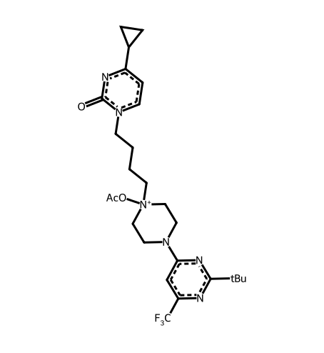 CC(=O)O[N+]1(CCCCn2ccc(C3CC3)nc2=O)CCN(c2cc(C(F)(F)F)nc(C(C)(C)C)n2)CC1